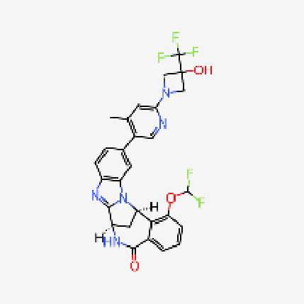 Cc1cc(N2CC(O)(C(F)(F)F)C2)ncc1-c1ccc2nc3n(c2c1)[C@@H]1C[C@H]3NC(=O)c2cccc(OC(F)F)c21